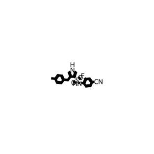 Cc1ccc(Cc2c[nH]cc2S(=O)(=O)Nc2ccc(C#N)cc2F)cc1